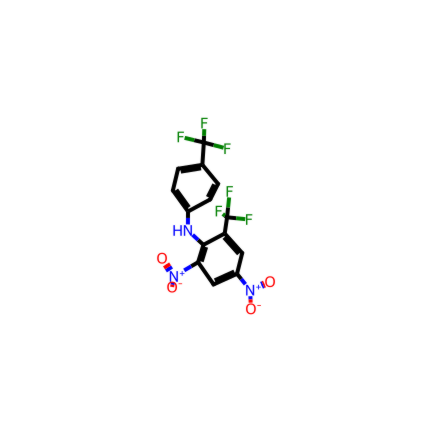 O=[N+]([O-])c1cc([N+](=O)[O-])c(Nc2ccc(C(F)(F)F)cc2)c(C(F)(F)F)c1